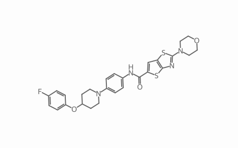 O=C(Nc1ccc(N2CCC(Oc3ccc(F)cc3)CC2)cc1)c1cc2sc(N3CCOCC3)nc2s1